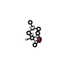 N#Cc1cc(-n2c3ccccc3c3ccccc32)c(-n2c3ccccc3c3ccccc32)c2oc3c(-c4cc(-c5ccccc5)nc(-c5ccccc5)n4)cccc3c12